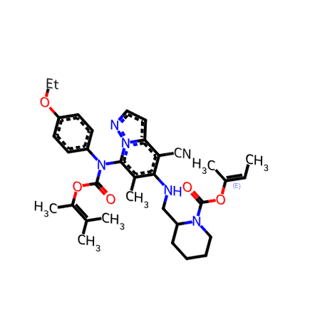 C/C=C(\C)OC(=O)N1CCCCC1CNc1c(C)c(N(C(=O)OC(C)=C(C)C)c2ccc(OCC)cc2)n2nccc2c1C#N